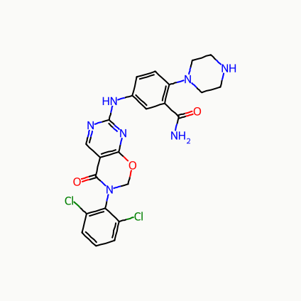 NC(=O)c1cc(Nc2ncc3c(n2)OCN(c2c(Cl)cccc2Cl)C3=O)ccc1N1CCNCC1